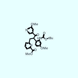 COC(=O)c1cccc(CC(C(=O)c2cncc(OC)c2)c2ccc(OC)cc2NC(=O)OC(C)(C)C)n1